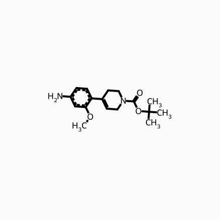 COc1cc(N)ccc1C1=CCN(C(=O)OC(C)(C)C)CC1